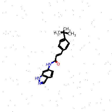 CC(C)(C)c1ccc(C=CC(=O)Nc2ccc3cn[nH]c3c2)cc1